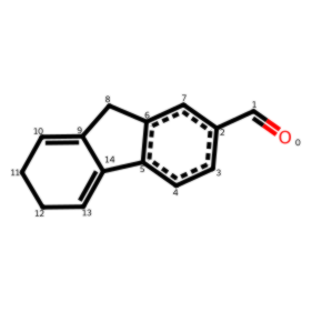 O=Cc1ccc2c(c1)CC1=CCCC=C12